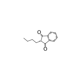 CCCC[C]1C(=O)c2ccccc2C1=O